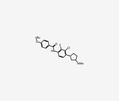 CCCCOc1ccc(C(=O)Nc2ccc(N3CCC(NC)C3)c(Cl)c2F)cc1